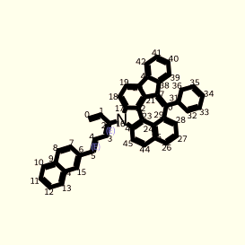 C=C/C(=C\C=C\c1ccc2ccccc2c1)n1c2ccc3c4c2c2c5c(cccc5c(C5C=CC=CC5)c-4c4ccccc43)ccc21